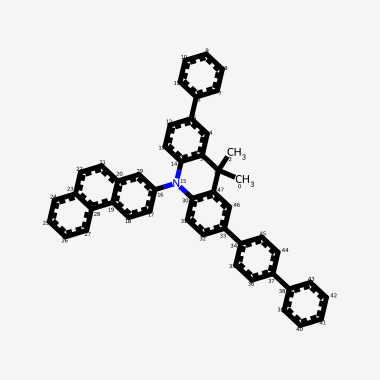 CC1(C)c2cc(-c3ccccc3)ccc2N(c2ccc3c(ccc4ccccc43)c2)c2ccc(-c3ccc(-c4ccccc4)cc3)cc21